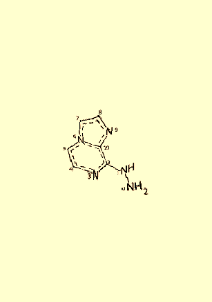 NNc1nccn2ccnc12